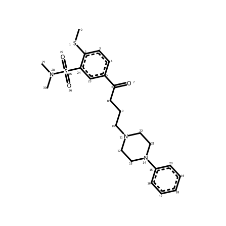 CSc1ccc(C(=O)CCCN2CCN(c3ccccc3)CC2)cc1S(=O)(=O)N(C)C